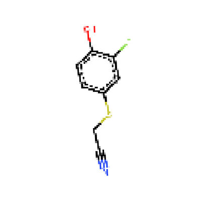 N#CCSc1ccc(O)c(F)c1